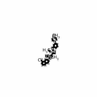 CCn1c(C(C)NS(=O)(=O)c2ccc3cccc(Cl)c3c2)cnc1Oc1cccc(N2CCN(C)CC2)c1